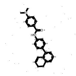 CN(C)c1ccc(C(=O)Nc2ccc(-c3cccc4c3C=CCC4)cc2)cc1